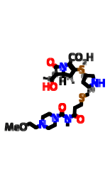 COCCN1CCN(C(=O)N(C)C(=O)CCSC[C@@H]2C[C@H](SC3=C(C(=O)O)N4C(=O)[C@H]([C@@H](C)O)[C@H]4[C@H]3C)CN2)CC1